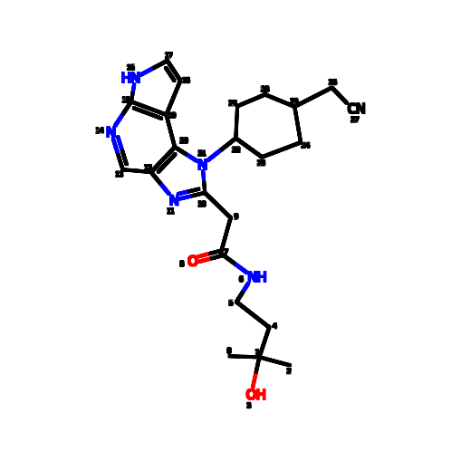 CC(C)(O)CCNC(=O)Cc1nc2cnc3[nH]ccc3c2n1C1CCC(CC#N)CC1